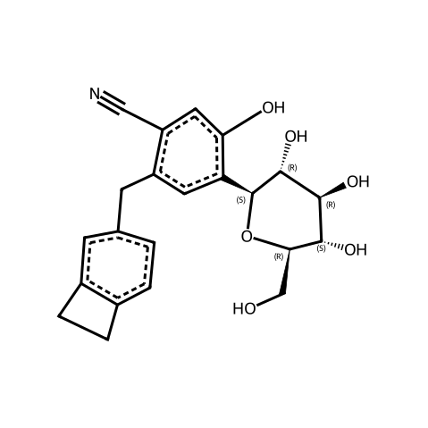 N#Cc1cc(O)c([C@@H]2O[C@H](CO)[C@@H](O)[C@H](O)[C@H]2O)cc1Cc1ccc2c(c1)CC2